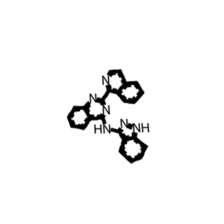 c1ccc2c(-c3nc(Nc4n[nH]c5ccccc45)c4ccccc4n3)nccc2c1